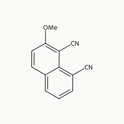 COc1ccc2cccc(C#N)c2c1C#N